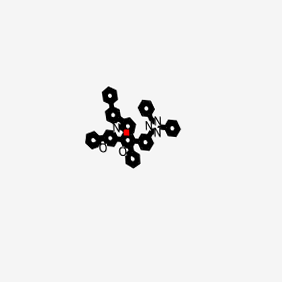 c1ccc(-c2ccc3c(c2)c2ccccc2n3-c2cc3c(cc2-c2ccc(-c4cccc(-c5nc(-c6ccccc6)nc(-c6ccccc6)n5)c4)c4c2oc2ccccc24)oc2ccccc23)cc1